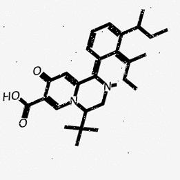 CC/C(C)=c1/c(C(C)CC)ccc/c1=C1\c2cc(=O)c(C(=O)O)cn2C(C(C)(C)C)CN1C